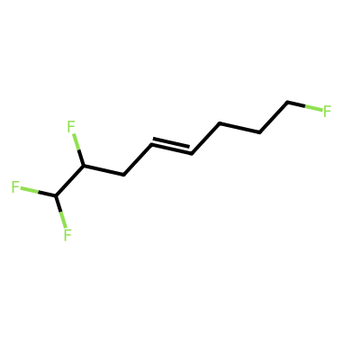 FCCCC=CCC(F)C(F)F